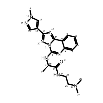 C[C@@H](Nc1nc2ccccc2c2nc(-c3cnn(C)c3)nn12)C(=O)NCCN(C)C